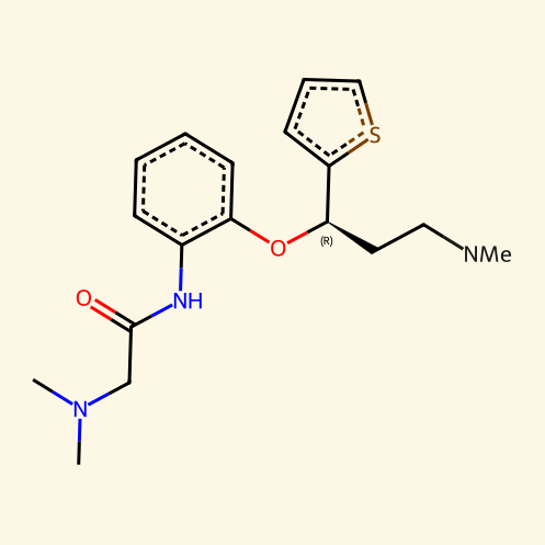 CNCC[C@@H](Oc1ccccc1NC(=O)CN(C)C)c1cccs1